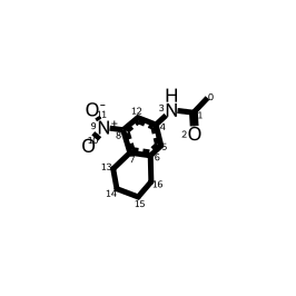 CC(=O)Nc1cc2c(c([N+](=O)[O-])c1)CCCC2